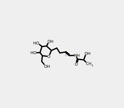 CC(O)C(=O)N/C=C/CCC1OC(CO)C(O)C(O)C1O